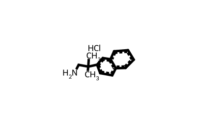 CC(C)(CN)c1ccc2ccccc2c1.Cl